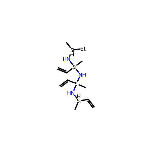 C=C[SiH](C)N[Si](C)(C=C)N[Si](C)(C=C)N[SiH](C)CC